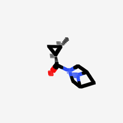 C[C@H]1C[C@H]1C(=O)N1CC2CC(C1)N2